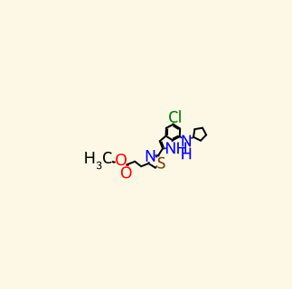 CCOC(=O)CCC1CSC(c2cc3cc(Cl)cc(NC4CCCC4)c3[nH]2)=N1